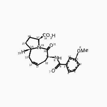 COc1cccc(C(=O)N[C@H]2CC=CC[C@@H]3CC[C@@H](C(=O)O)N3C2=O)c1